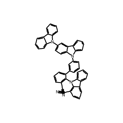 N#Cc1cccc(-c2cccc(-n3c4ccccc4c4cc(-n5c6ccccc6c6ccccc65)ccc43)c2)c1-n1c2ccccc2c2cccc(C#N)c21